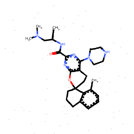 Cc1cccc2c1C1(CCC2)CCc2c(nc(C(=O)NC(C)CN(C)C)nc2N2CCNCC2)O1